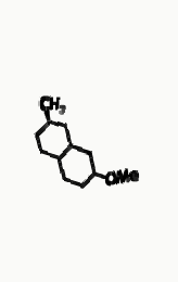 COC1CCC2CC[C@@H](C)CC2C1